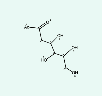 CC(=O)C(=O)CC(O)C(O)C(O)CO